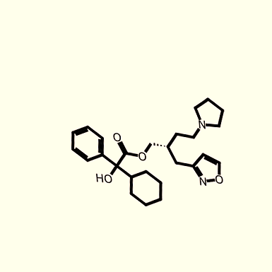 O=C(OC[C@H](CCN1CCCC1)Cc1ccon1)C(O)(c1ccccc1)C1CCCCC1